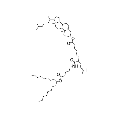 CCCCCCCCC(CCCCCCCC)OC(=O)CCCCNC(=O)C(CCCCCC(=O)OC1CCC2(C)C(=CCC3C2CCC2(C)C(C(C)CCCC(C)C)CCC32)C1)CCNC